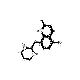 Cc1ccc2c(Br)ccc(CC3OCCCO3)c2n1